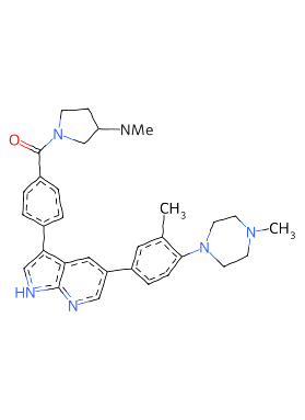 CNC1CCN(C(=O)c2ccc(-c3c[nH]c4ncc(-c5ccc(N6CCN(C)CC6)c(C)c5)cc34)cc2)C1